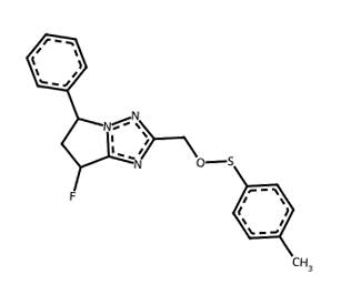 Cc1ccc(SOCc2nc3n(n2)C(c2ccccc2)CC3F)cc1